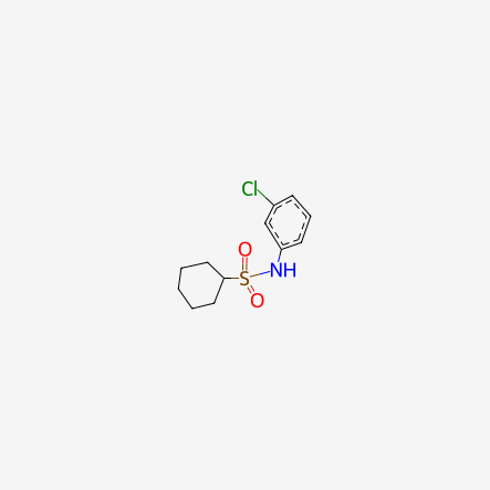 O=S(=O)(Nc1cccc(Cl)c1)C1CCCCC1